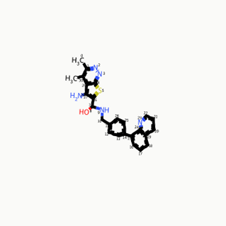 Cc1nnc2sc(C(O)NCc3ccc(-c4cccc5cccnc45)cc3)c(N)c2c1C